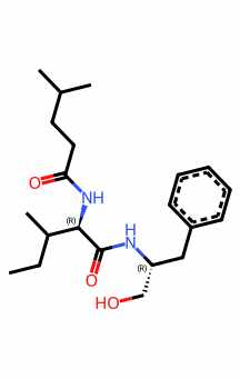 CCC(C)[C@@H](NC(=O)CCC(C)C)C(=O)N[C@@H](CO)Cc1ccccc1